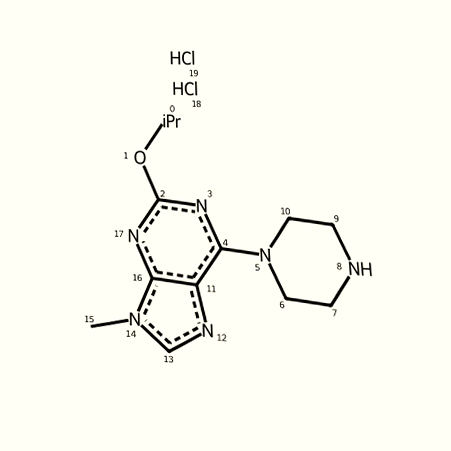 CC(C)Oc1nc(N2CCNCC2)c2ncn(C)c2n1.Cl.Cl